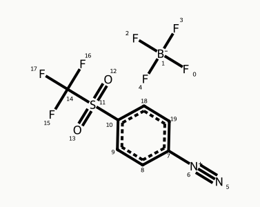 F[B-](F)(F)F.N#[N+]c1ccc(S(=O)(=O)C(F)(F)F)cc1